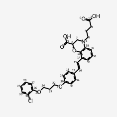 O=C(O)CCCN1CC(C(=O)O)Oc2c(C=Cc3ccc(OCCCOc4ccccc4Cl)cc3)cccc21